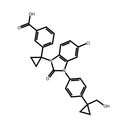 O=C(O)c1cccc(C2(n3c(=O)n(-c4ccc(C5(CO)CC5)cc4)c4cc(Cl)ccc43)CC2)c1